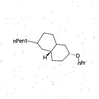 CCCCCC1CCC2C[C@H](OCCC)CC[C@@H]2C1